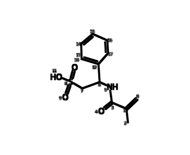 C=C(C)C(=O)NC(CS(=O)(=O)O)c1ccccc1